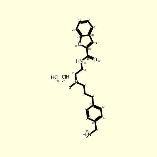 CN(CCCc1ccc(CN)cc1)CCNC(=O)c1cc2ccccc2o1.Cl.Cl